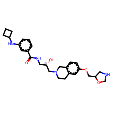 O=C(NC[C@H](O)CN1CCc2cc(OCC3CNCO3)ccc2C1)c1cccc(NC2CCC2)c1